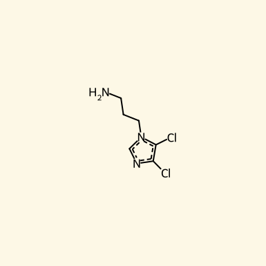 NCCCn1cnc(Cl)c1Cl